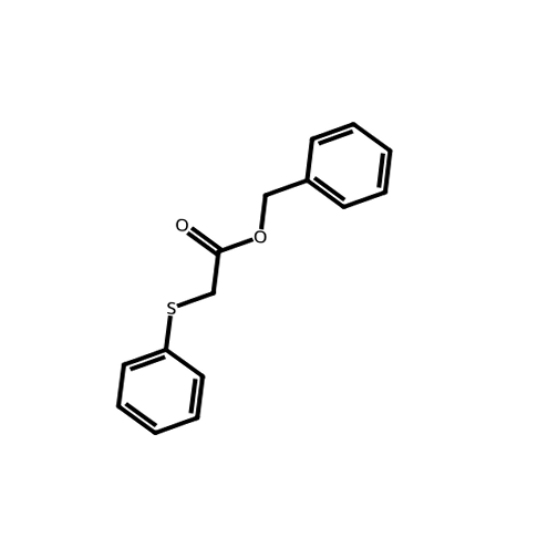 O=C(CSc1ccccc1)OCc1ccccc1